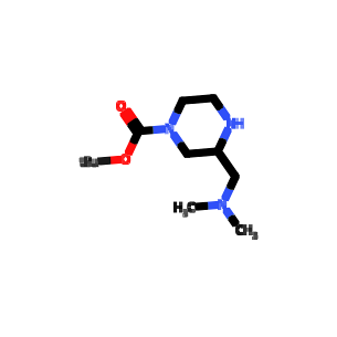 CN(C)CC1CN(C(=O)OC(C)(C)C)CCN1